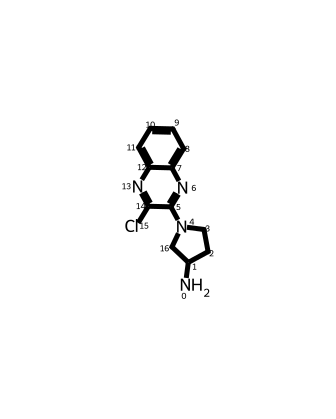 NC1CCN(c2nc3ccccc3nc2Cl)C1